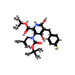 C=C(C)CN(C(=O)OC(C)(C)C)c1c(C(=O)OC(C)C)nc(Br)c(Cc2ccc(F)cc2)c1Br